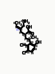 C/C=C(\CN)CN(C[C@H](C)c1c(O)ccc(Cl)c1Cl)C(=O)O